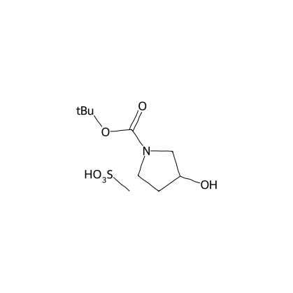 CC(C)(C)OC(=O)N1CCC(O)C1.CS(=O)(=O)O